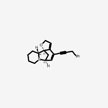 CC(C)CC#CC1=C[C@@H]2C[C@@]3(OCC=C13)[C@H]1CCCCN21